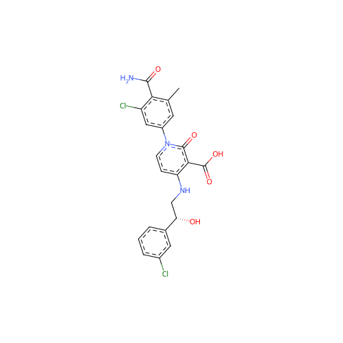 Cc1cc(-n2ccc(NC[C@H](O)c3cccc(Cl)c3)c(C(=O)O)c2=O)cc(Cl)c1C(N)=O